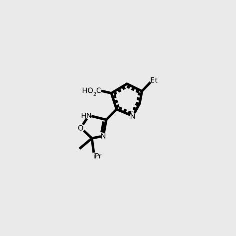 CCc1cnc(C2=NC(C)(C(C)C)ON2)c(C(=O)O)c1